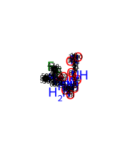 CC(NC(=O)CNC(=O)CCCCCN1C(=O)C=CC1=O)C(=O)N[C@@H](CC(N)=O)C(=O)NCCCN(C(=O)CO)C(c1cc(-c2cc(F)ccc2F)cn1Cc1ccccc1)C(C)(C)C